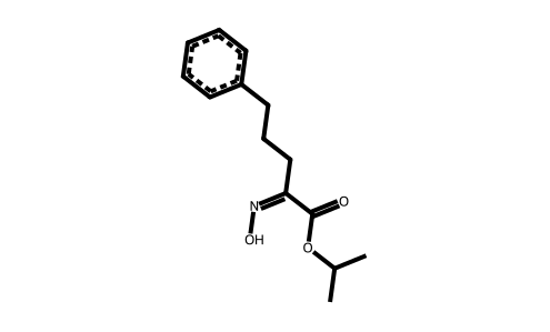 CC(C)OC(=O)C(CCCc1ccccc1)=NO